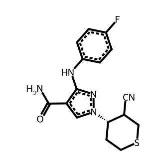 N#CC1CSCC[C@@H]1n1cc(C(N)=O)c(Nc2ccc(F)cc2)n1